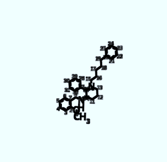 COc1ccccc1CN[C@@H]1CCCN(CCCCCc2ccccc2)[C@@H]1c1ccccc1